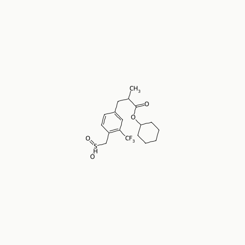 CC(Cc1ccc(C[SH](=O)=O)c(C(F)(F)F)c1)C(=O)OC1CCCCC1